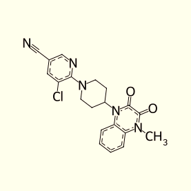 Cn1c(=O)c(=O)n(C2CCN(c3ncc(C#N)cc3Cl)CC2)c2ccccc21